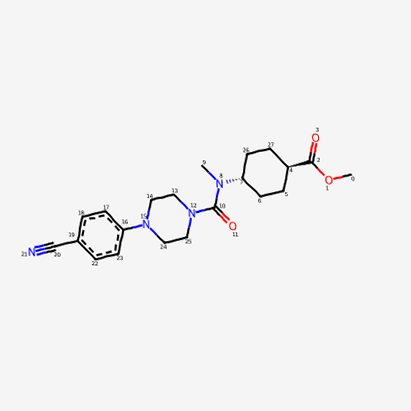 COC(=O)[C@H]1CC[C@H](N(C)C(=O)N2CCN(c3ccc(C#N)cc3)CC2)CC1